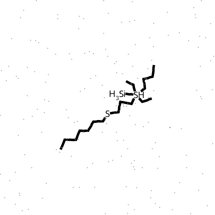 CCCCCCCSCCC[SH]([SiH3])(CC)(CC)CCCC